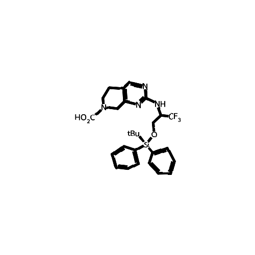 CC(C)(C)[Si](OCC(Nc1ncc2c(n1)CN(C(=O)O)CC2)C(F)(F)F)(c1ccccc1)c1ccccc1